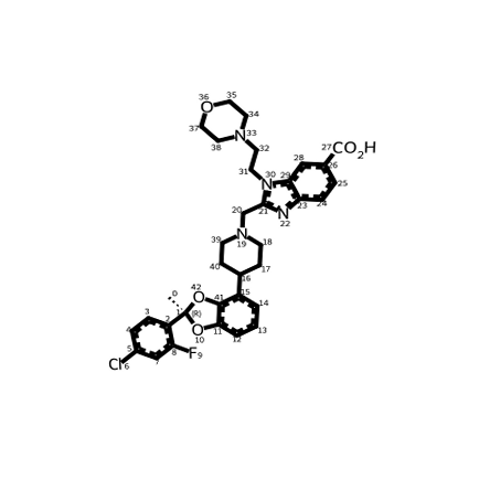 C[C@@]1(c2ccc(Cl)cc2F)Oc2cccc(C3CCN(Cc4nc5ccc(C(=O)O)cc5n4CCN4CCOCC4)CC3)c2O1